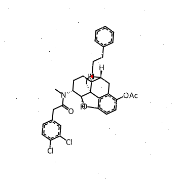 CC(=O)Oc1ccc2c3c1C[C@@H]1[C@@H]4CC[C@@H](N(C)C(=O)Cc5ccc(Cl)c(Cl)c5)[C@H](O2)[C@]34CCN1CCc1ccccc1